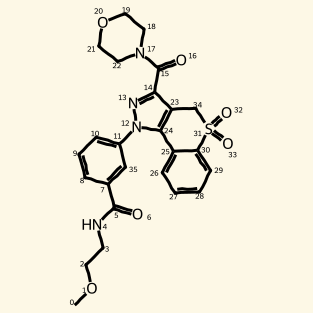 COCCNC(=O)c1cccc(-n2nc(C(=O)N3CCOCC3)c3c2-c2ccccc2S(=O)(=O)C3)c1